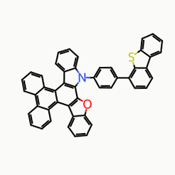 c1ccc2c(c1)oc1c2c2c3ccccc3c3ccccc3c2c2c3ccccc3n(-c3ccc(-c4cccc5c4sc4ccccc45)cc3)c12